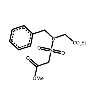 CCOC(=O)CN(Cc1ccccc1)S(=O)(=O)CC(=O)OC